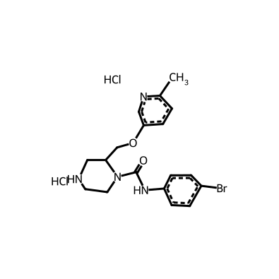 Cc1ccc(OCC2CNCCN2C(=O)Nc2ccc(Br)cc2)cn1.Cl.Cl